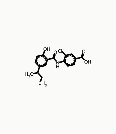 CCC(C)c1ccc(O)c(C(=O)Nc2ccc(C(=O)O)cc2Cl)c1